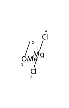 COC.[Cl][Mg][Cl]